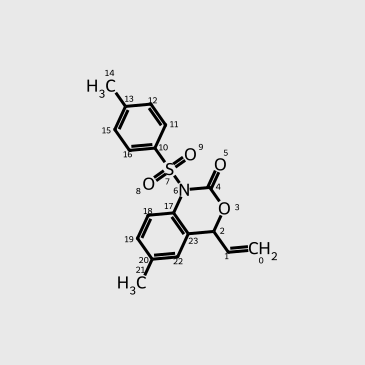 C=CC1OC(=O)N(S(=O)(=O)c2ccc(C)cc2)c2ccc(C)cc21